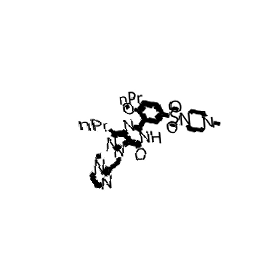 CCCOc1ccc(S(=O)(=O)N2CCN(C)CC2)cc1-c1nc2c(CCC)nn(Cc3nccn3C)c2c(=O)[nH]1